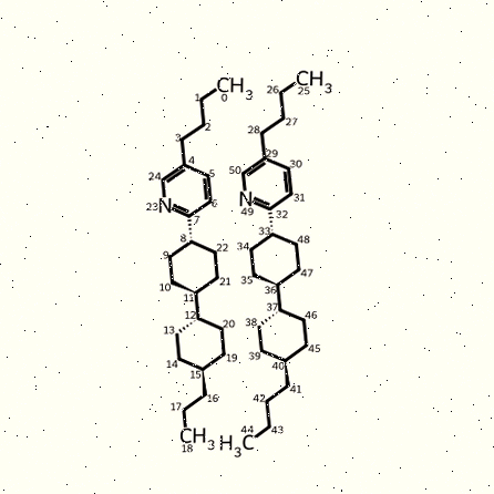 CCCCc1ccc([C@H]2CC[C@H]([C@H]3CC[C@H](CCC)CC3)CC2)nc1.CCCCc1ccc([C@H]2CC[C@H]([C@H]3CC[C@H](CCCC)CC3)CC2)nc1